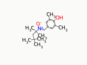 Cc1cc(C=[N+]([O-])C(C)(C)CC(C)(C)C)cc(C)c1O